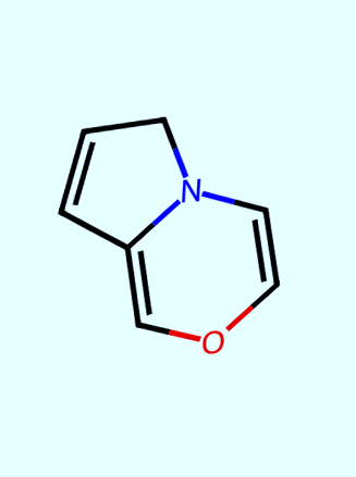 C1=CC2=COC=CN2C1